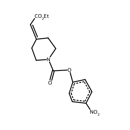 CCOC(=O)C=C1[CH]CN(C(=O)Oc2ccc([N+](=O)[O-])cc2)CC1